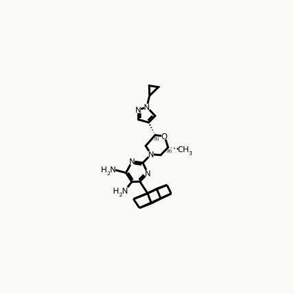 C[C@@H]1CN(c2nc(N)c(N)c(C34C5C6C7C5C3C7C64)n2)C[C@H](c2cnn(C3CC3)c2)O1